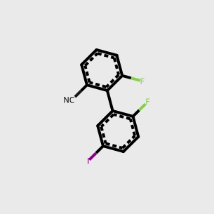 N#Cc1cccc(F)c1-c1cc(I)ccc1F